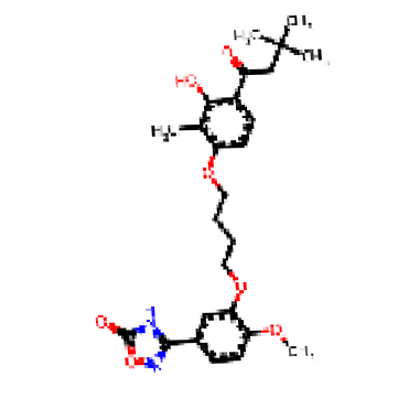 COc1ccc(-c2noc(=O)[nH]2)cc1OCCCCOc1ccc(C(=O)CC(C)(C)C)c(O)c1C